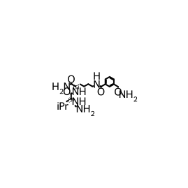 CC(C)C[C@H](NCN)C(=O)N[C@@H](CCCCNC(=O)c1cccc(CON)c1)C(N)=O